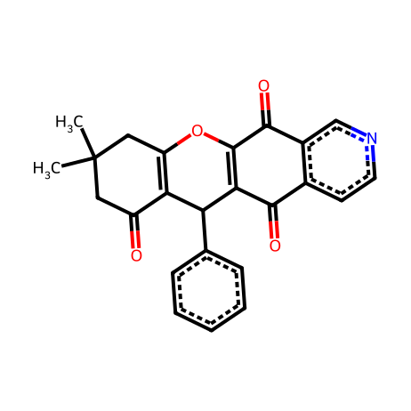 CC1(C)CC(=O)C2=C(C1)OC1=C(C(=O)c3ccncc3C1=O)C2c1ccccc1